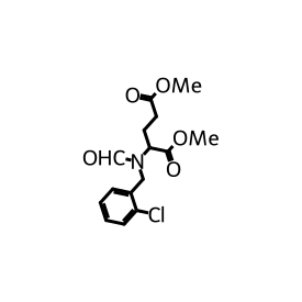 COC(=O)CCC(C(=O)OC)N(C=O)Cc1ccccc1Cl